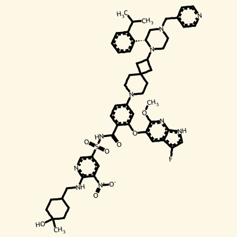 COc1nc2[nH]cc(F)c2cc1Oc1cc(N2CCC3(CC2)CC(N2CCN(Cc4ccncc4)C[C@H]2c2ccccc2C(C)C)C3)ccc1C(=O)NS(=O)(=O)c1cnc(NCC2CCC(C)(O)CC2)c([N+](=O)[O-])c1